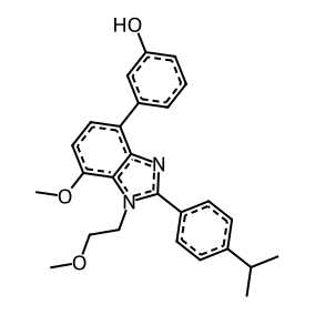 COCCn1c(-c2ccc(C(C)C)cc2)nc2c(-c3cccc(O)c3)ccc(OC)c21